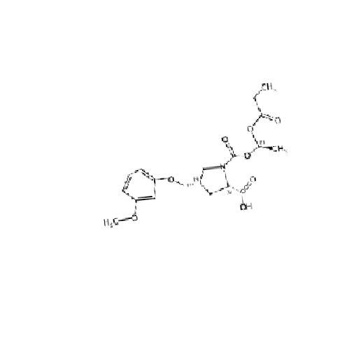 CCC(=O)O[C@@H](C)OC(=O)N1C[C@@H](COc2cccc(OC)c2)C[C@H]1C(=O)O